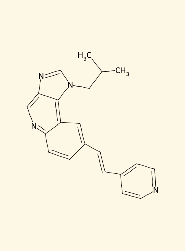 CC(C)Cn1cnc2cnc3ccc(C=Cc4ccncc4)cc3c21